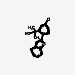 CC(C)(O)c1cc(Cl)ccc1-c1cc2ccccc2s1